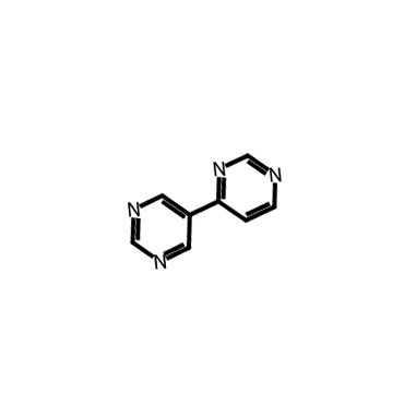 c1cc(-c2cncnc2)ncn1